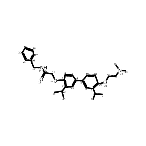 CC(C)c1cc(-c2ccc(OCC(=O)NCc3ccccc3)c(C(C)C)c2)ccc1OCCN(C)C